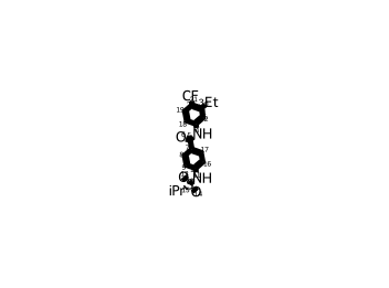 CCc1cc(NC(=O)c2ccc(NS(=O)(=O)C(C)C)cc2)ccc1C(F)(F)F